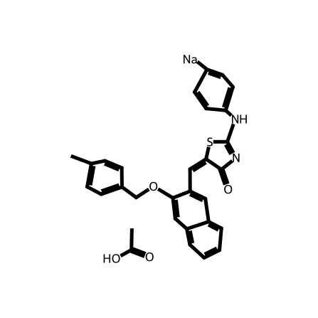 CC(=O)O.Cc1ccc(COc2cc3ccccc3cc2/C=C2/SC(Nc3cc[c]([Na])cc3)=NC2=O)cc1